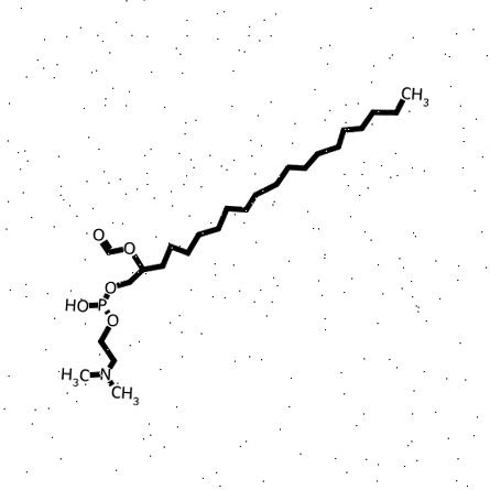 CCCCCCCCCCCCCCCCCCC(COP(O)OCCN(C)C)OC=O